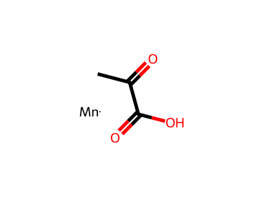 CC(=O)C(=O)O.[Mn]